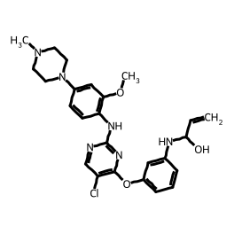 C=CC(O)Nc1cccc(Oc2nc(Nc3ccc(N4CCN(C)CC4)cc3OC)ncc2Cl)c1